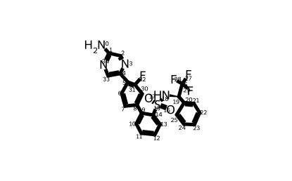 Nc1cnc(-c2ccc(-c3ccccc3S(=O)(=O)N[C@H](c3ccccc3)C(F)(F)F)cc2F)cn1